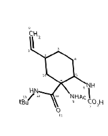 C=CC1CCC(NC(=O)O)C(NC(C)=O)(C(=O)NC(C)(C)C)C1